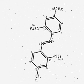 CC(=O)Oc1ccc(N=Nc2ccc(Cl)cc2[N+](=O)[O-])c(OC(C)=O)c1